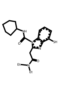 CCN(CC)C(=O)Cc1nc2c(S)cccc2n1C(=O)NC1CCCCC1